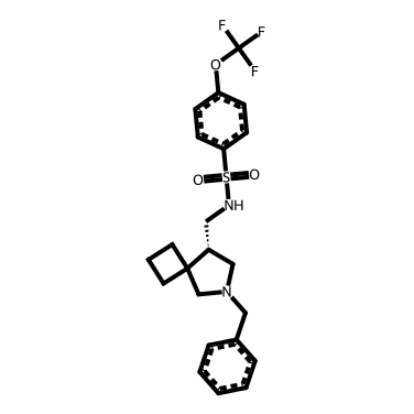 O=S(=O)(NC[C@@H]1CN(Cc2ccccc2)CC12CCC2)c1ccc(OC(F)(F)F)cc1